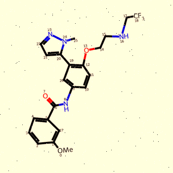 COc1cccc(C(=O)Nc2ccc(OCCNCC(F)(F)F)c(-c3ccnn3C)c2)c1